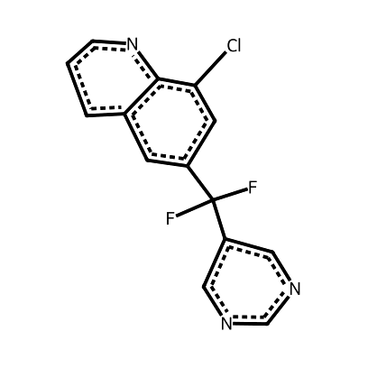 FC(F)(c1cncnc1)c1cc(Cl)c2ncccc2c1